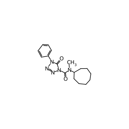 CN(C(=O)n1nnn(-c2ccccc2)c1=O)C1CCCCCCC1